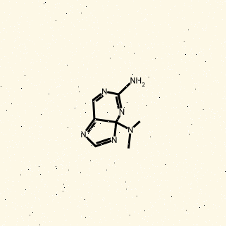 CN(C)C12N=CN=C1C=NC(N)=N2